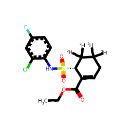 [2H]C1([2H])CC=C(C(=O)OCC)[C@H](S(=O)(=O)Nc2ccc(F)cc2Cl)C1([2H])[2H]